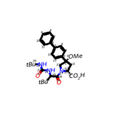 CO[C@@]1(c2ccc(-c3ccccc3)cc2)C[C@@H](C(=O)O)N(C(=O)C(NC(=O)NC(C)(C)C)C(C)(C)C)C1